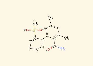 Cc1[c]c(C)c(C(N)=O)c(-c2ccccc2S(C)(=O)=O)c1